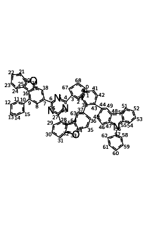 c1ccc(-c2nc(-c3cc(-c4ccccc4)c4c(c3)oc3ccccc34)nc(-c3cccc4oc5ccc(-c6ccccc6-c6ccc7c(c6)c6ccccc6n7-c6ccccc6)cc5c34)n2)cc1